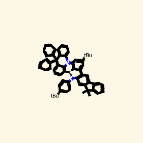 CC(C)(C)c1ccc(N2B3c4cccc5c4N(c4ccccc4C5(c4ccccc4)c4ccccc4)c4cc(C(C)(C)C)cc(c43)-c3cc4c(cc32)C(C)(C)c2ccccc2-4)cc1